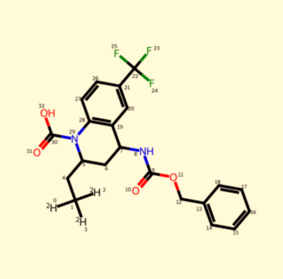 [2H]C([2H])([2H])CC1CC(NC(=O)OCc2ccccc2)c2cc(C(F)(F)F)ccc2N1C(=O)O